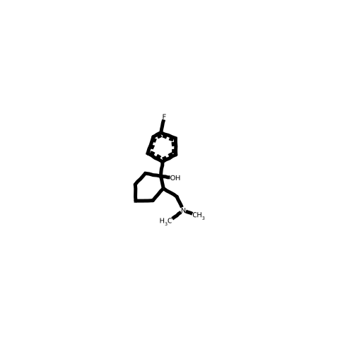 CN(C)CC1CCCCC1(O)c1ccc(F)cc1